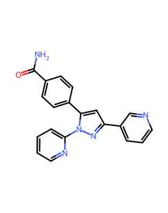 NC(=O)c1ccc(-c2cc(-c3cccnc3)nn2-c2ccccn2)cc1